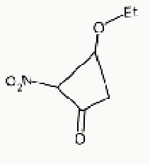 CCOC1CC(=O)C1[N+](=O)[O-]